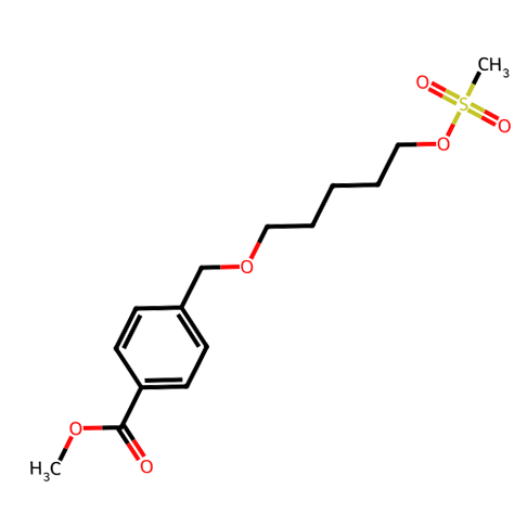 COC(=O)c1ccc(COCCCCCOS(C)(=O)=O)cc1